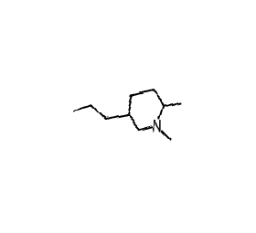 CCCC1CCC(C)N(C)C1